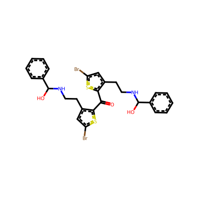 O=C(c1sc(Br)cc1CCNC(O)c1ccccc1)c1sc(Br)cc1CCNC(O)c1ccccc1